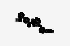 COc1cccc(CNc2ncnc3sc(C(=O)N4CCN(c5ccccc5O)CC4)c(C)c23)c1